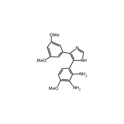 COc1cc(OC)cc(-c2nc[nH]c2-c2ccc(OC)c(N)c2N)c1